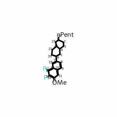 CCCCCC1CCC2CC(c3ccc4cc(OC)c(F)c(F)c4c3)CCC2C1